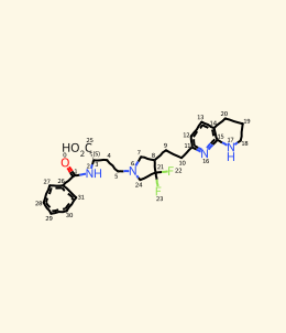 O=C(N[C@@H](CCN1CC(CCc2ccc3c(n2)NCCC3)C(F)(F)C1)C(=O)O)c1ccccc1